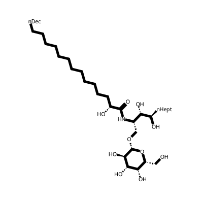 CCCCCCCCCCCCCCCCCCCCCC[C@@H](O)C(=O)N[C@@H](CO[C@@H]1O[C@H](CO)[C@H](O)[C@H](O)[C@H]1O)[C@H](O)[C@H](O)CCCCCCC